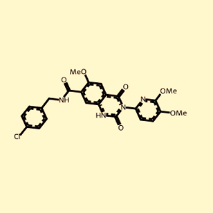 COc1cc2c(=O)n(-c3ccc(OC)c(OC)n3)c(=O)[nH]c2cc1C(=O)NCc1ccc(Cl)cc1